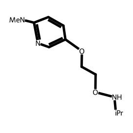 CNc1ccc(OCCONC(C)C)cn1